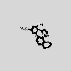 Cc1cc(C)c(-c2ccnn2-c2cccc3c2OCCC3)c(C)c1